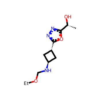 CCOCN[C@H]1C[C@H](c2nnc([C@@H](C)O)o2)C1